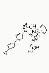 Cc1noc(-c2ccc(-c3ccc(C4CC4)cc3)cc2)c1Cn1nc(-c2ccccc2)oc1=N.O=C(O)O